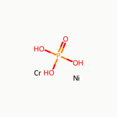 O=P(O)(O)O.[Cr].[Ni]